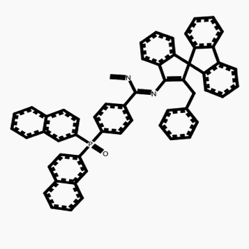 C=N/C(=N\C1=C(Cc2ccccc2)C2(c3ccccc31)c1ccccc1-c1ccccc12)c1ccc(P(=O)(c2ccc3ccccc3c2)c2ccc3ccccc3c2)cc1